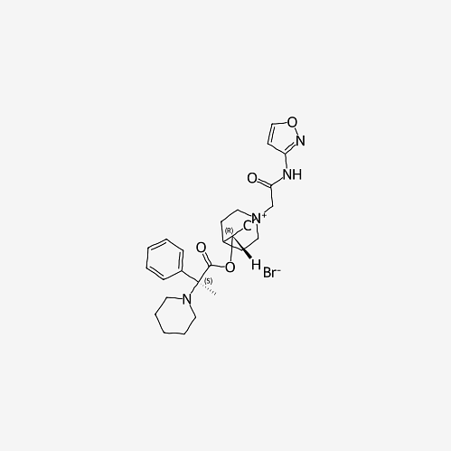 C[C@@](C(=O)O[C@H]1C[N+]2(CC(=O)Nc3ccon3)CCC1CC2)(c1ccccc1)N1CCCCC1.[Br-]